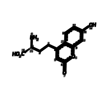 N[C@H](CCc1cc(=O)oc2cc(O)ccc12)C(=O)O